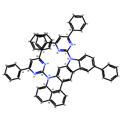 c1ccc(-c2ccc3c(c2)c2cc4c(cc2n3-c2nc(-c3ccccc3)cc(-c3ccccc3)n2)N(c2nc(-c3ccccc3)cc(-c3ccccc3)n2)c2cccc3cccc-4c23)cc1